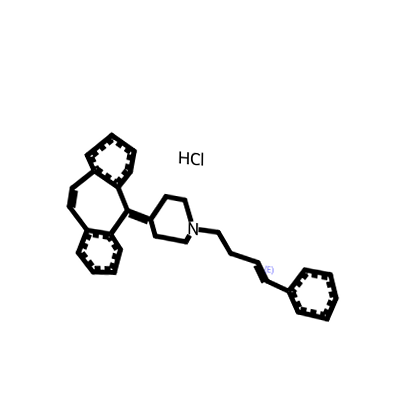 C1=Cc2ccccc2C(=C2CCN(CC/C=C/c3ccccc3)CC2)c2ccccc21.Cl